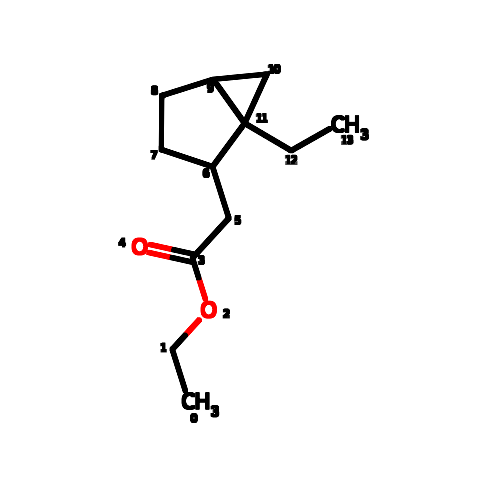 CCOC(=O)CC1CCC2CC12CC